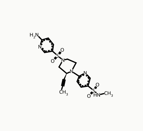 CC#C[C@H]1CN(S(=O)(=O)c2ccc(N)nc2)CCN1c1ccc(S(=O)(=O)NC)cn1